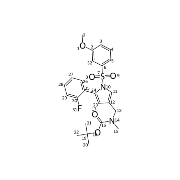 COc1cccc(S(=O)(=O)n2cc(CN(C)C(=O)OC(C)(C)C)cc2-c2ccccc2F)c1